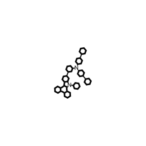 c1ccc(-c2ccc(N(c3ccc(-c4ccccc4)cc3)c3cccc(-c4ccc5c6c7ccccc7c7ccccc7c6n(-c6ccccc6)c5c4)c3)cc2)cc1